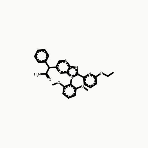 CCOc1cccc(-c2nc3ncc(C(C(N)=O)c4ccccc4)nc3n2-c2c(OC)cccc2OC)n1